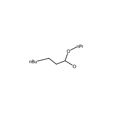 CCCCCCC([O])OCCC